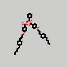 CCCCCC1CCC(C=CCOc2ccc(C(=O)OC[C@H](OC(=O)c3ccc(OCC=CC4CCC(CCCCC)CC4)cc3)c3ccccc3)cc2)CC1